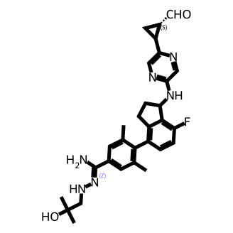 Cc1cc(/C(N)=N/NCC(C)(C)O)cc(C)c1-c1ccc(F)c2c1CCC2Nc1cnc(C2C[C@@H]2C=O)cn1